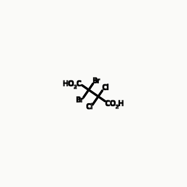 O=C(O)C(Cl)(Cl)C(Br)(Br)C(=O)O